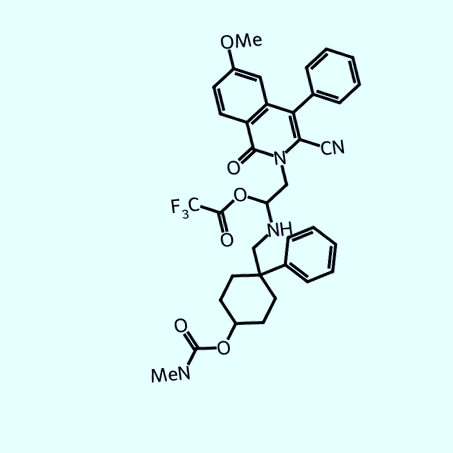 CNC(=O)OC1CCC(CNC(Cn2c(C#N)c(-c3ccccc3)c3cc(OC)ccc3c2=O)OC(=O)C(F)(F)F)(c2ccccc2)CC1